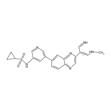 CN/C=C(\C=N)c1cnc2ccc(-c3cncc(NS(=O)(=O)C4CC4)c3)cc2n1